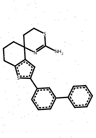 NC1=NC2(CCCc3sc(-c4cccc(-c5ccccc5)c4)cc32)CCS1